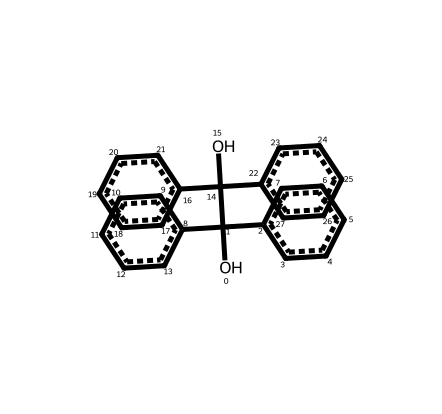 OC(c1ccccc1)(c1ccccc1)C(O)(c1ccccc1)c1ccccc1